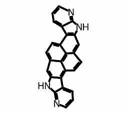 c1cnc2[nH]c3cc4ccc5c6c(cc7ccc(c3c2c1)c4c75)[nH]c1ncccc16